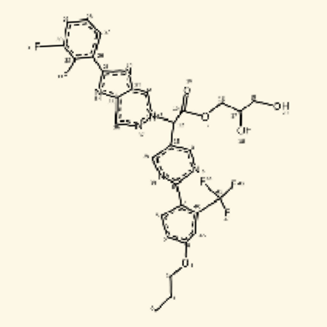 CCCOc1ccc(-c2ncc(C(C(=O)OCC(O)CO)n3cc4nc(-c5cccc(F)c5F)nc-4cn3)cn2)c(C(F)(F)F)c1